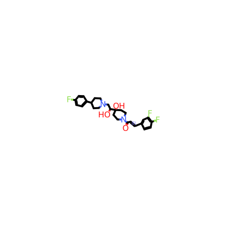 O=C(/C=C/c1ccc(F)c(F)c1)N1CCC(O)(C(O)CN2CCC(c3ccc(F)cc3)CC2)CC1